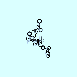 N[C@@H](Cc1ccc(C(=O)N2CCOCC2)cc1)C(=O)N[C@H](C=C(F)S(=O)(=O)c1ccccc1)CCCCNC(=O)OCc1ccccc1